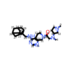 CN1CCC(N(C)CC(=O)N2CCc3c(ncnc3NCC3C4CC5CC(C4)CC3C5)C2)C1